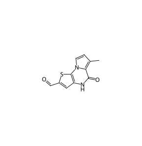 Cc1ccn2c1c(=O)[nH]c1cc(C=O)sc12